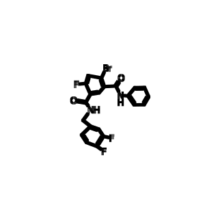 O=C(NCc1ccc(F)c(F)c1)c1cc(C(=O)Nc2ccccc2)c(Br)cc1F